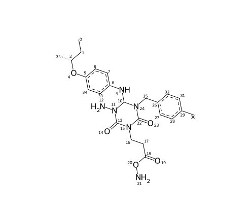 CC[C@@H](C)Oc1ccc(NC2N(N)C(=O)N(CCC(=O)ON)C(=O)N2Cc2ccc(C)cc2)cc1